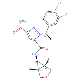 CNC(=O)c1cc(C(=O)N[C@H]2[C@@H]3COC[C@@H]32)n([C@H](C)c2ccc(Cl)c(F)c2)n1